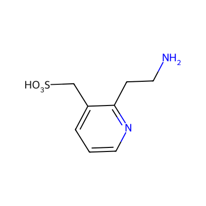 NCCc1ncccc1CS(=O)(=O)O